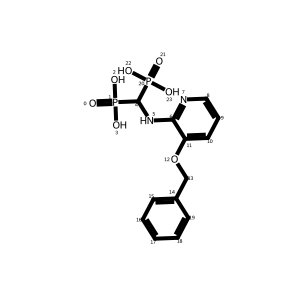 O=P(O)(O)C(Nc1ncccc1OCc1ccccc1)P(=O)(O)O